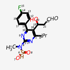 CC(C)c1nc(N(C)[SH](=O)=O)nc(-c2ccc(F)cc2)c1C(O)CC=O